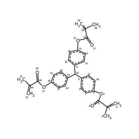 C=C(C)C(=O)Oc1ccc(C(c2ccc(OC(=O)C(=C)C)cc2)c2ccc(OC(=O)C(=C)C)cc2)cc1